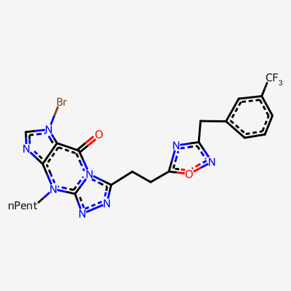 CCCCCn1c2ncn(Br)c2c(=O)n2c(CCc3nc(Cc4cccc(C(F)(F)F)c4)no3)nnc12